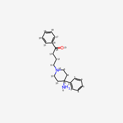 NC1(c2ccccc2)CCN(CCCC(=O)c2ccccc2)CC1